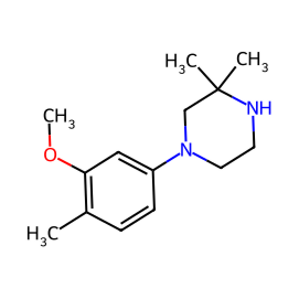 COc1cc(N2CCNC(C)(C)C2)ccc1C